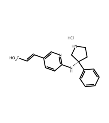 Cl.O=C(O)/C=C/c1ccc(N[C@@]2(c3ccccc3)CCNC2)nc1